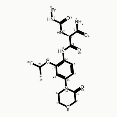 CC(C)NC(=O)N[C@@H](C(N)=O)C(=O)Nc1ccc(N2CCOCC2=O)cc1OC(F)F